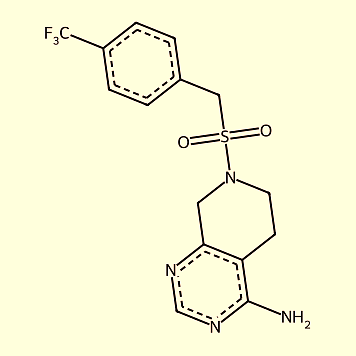 Nc1ncnc2c1CCN(S(=O)(=O)Cc1ccc(C(F)(F)F)cc1)C2